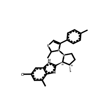 Cc1ccc(C2=[C]SC(C)N2N2CC[C@H](C)[C@H]2c2nc3c(C)cc(Cl)cc3[nH]2)cc1